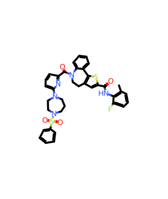 Cc1cccc(F)c1NC(=O)c1cc2c(s1)-c1ccccc1N(C(=O)c1cccc(N3CCCN(S(=O)(=O)c4ccccc4)CC3)n1)CC2